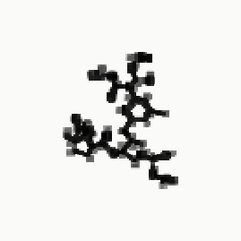 Cc1cc(C[C@H]2CN(C(=O)OC(C)(C)C)C[C@H]2OC(=O)C23CCC(C)(C(=O)O2)C3(C)C)nc(N(C(=O)OC(C)(C)C)C(=O)OC(C)(C)C)c1